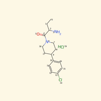 CCC(N)C(=O)N1CCC(c2ccc(Cl)cc2)CC1.Cl